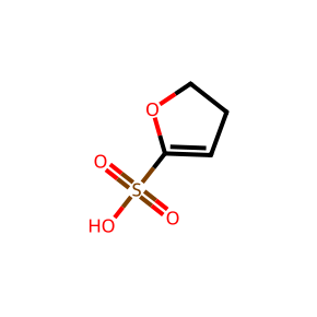 O=S(=O)(O)C1=CCCO1